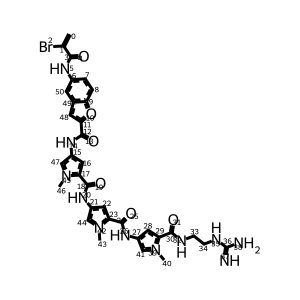 C=C(Br)C(=O)Nc1ccc2oc(C(=O)Nc3cc(C(=O)Nc4cc(C(=O)Nc5cc(C(=O)NCCNC(=N)N)n(C)c5)n(C)c4)n(C)c3)cc2c1